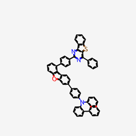 c1ccc(-c2ccccc2N(c2ccccc2)c2ccc(-c3ccc4c(c3)oc3cccc(-c5ccc(-c6nc(-c7ccccc7)c7sc8ccccc8c7n6)cc5)c34)cc2)cc1